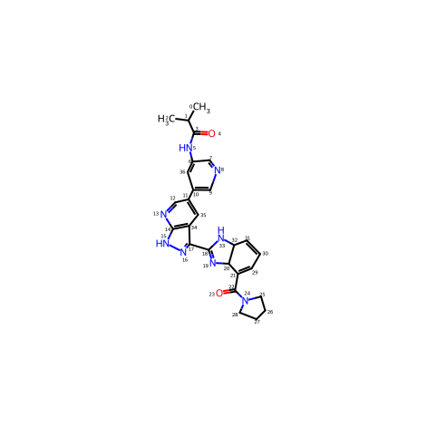 CC(C)C(=O)Nc1cncc(-c2cnc3[nH]nc(C4=NC5C(C(=O)N6CCCC6)=CC=CC5N4)c3c2)c1